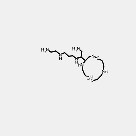 NCCNCCCNC(CN)C1CNCCCNCCNCCCN1